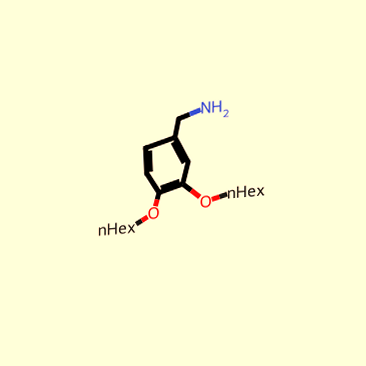 CCCCCCOc1ccc(CN)cc1OCCCCCC